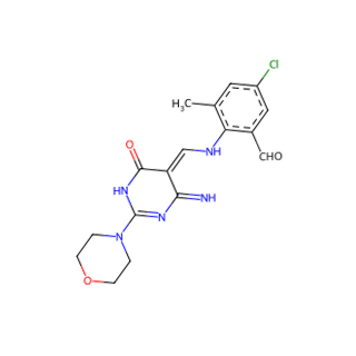 Cc1cc(Cl)cc(C=O)c1N/C=C1\C(=N)N=C(N2CCOCC2)NC1=O